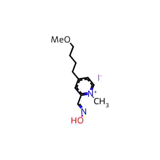 COCCCCc1cc[n+](C)c(/C=N/O)c1.[I-]